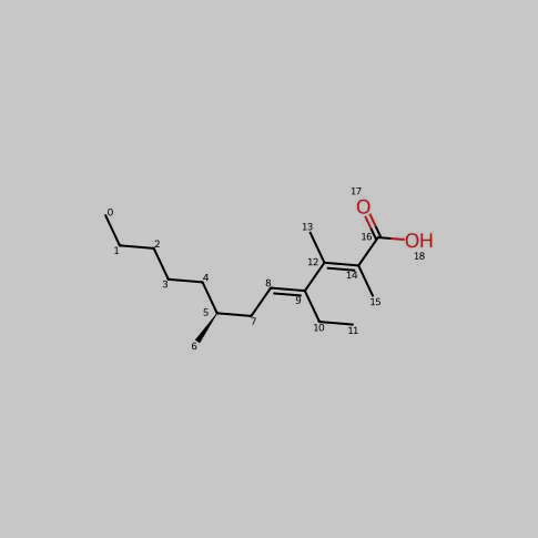 CCCCC[C@H](C)C/C=C(CC)/C(C)=C(\C)C(=O)O